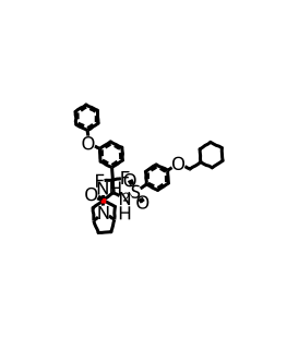 NC1CC2CCC(C1)N2C(=O)C(NS(=O)(=O)c1ccc(OCC2CCCCC2)cc1)C(F)(F)c1cccc(Oc2ccccc2)c1